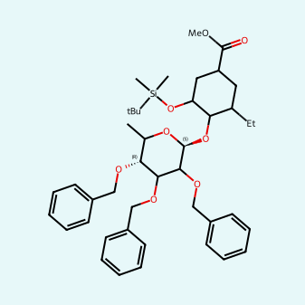 CCC1CC(C(=O)OC)CC(O[Si](C)(C)C(C)(C)C)C1O[C@@H]1OC(C)[C@@H](OCc2ccccc2)C(OCc2ccccc2)C1OCc1ccccc1